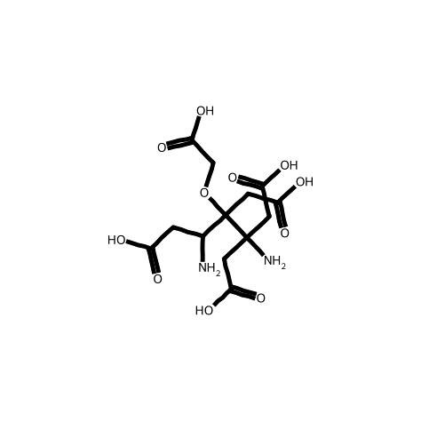 NC(CC(=O)O)C(CC(=O)O)(OCC(=O)O)C(N)(CC(=O)O)CC(=O)O